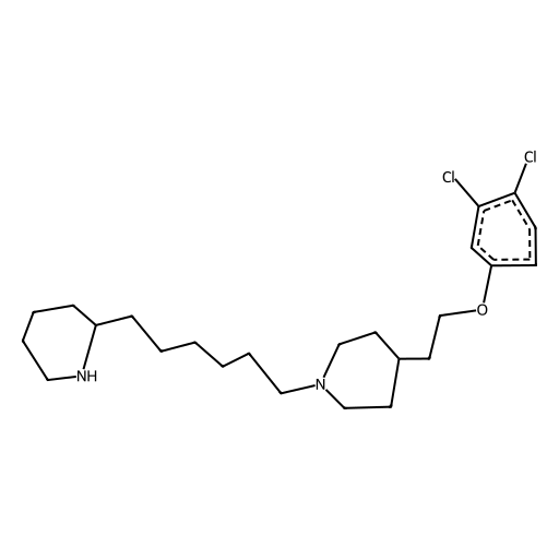 Clc1ccc(OCCC2CCN(CCCCCCC3CCCCN3)CC2)cc1Cl